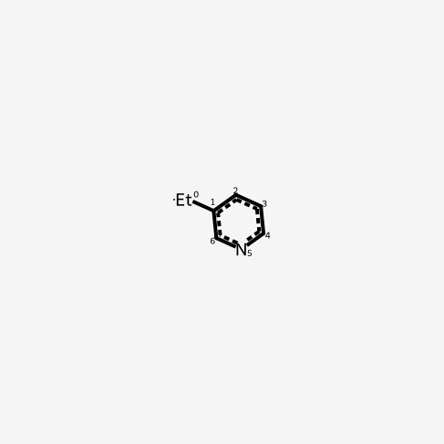 C[CH]c1cccnc1